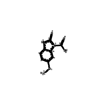 COc1ccc2[nH]c(=O)n(C(=O)O)c2c1